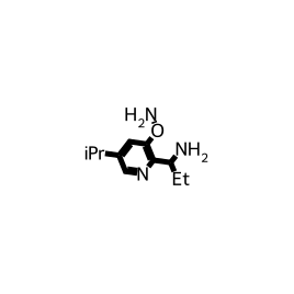 CCC(N)c1ncc(C(C)C)cc1ON